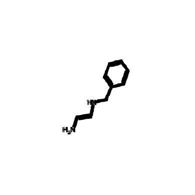 NC=CNCc1ccccc1